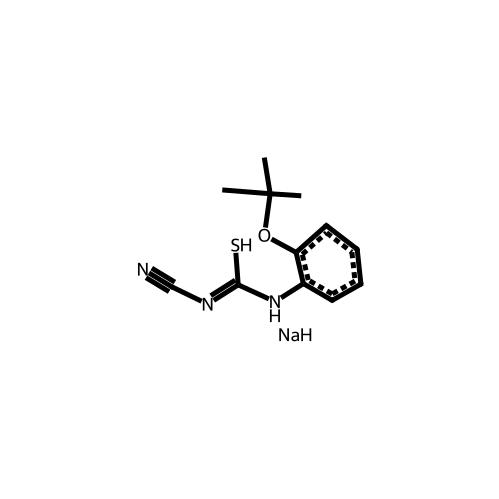 CC(C)(C)Oc1ccccc1NC(S)=NC#N.[NaH]